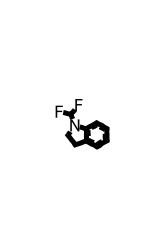 FC(F)N1CCc2ccccc21